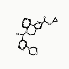 O=C(NC1CC1)c1cc2c(s1)-c1ccccc1N(C(O)c1ccnc(N3CCOCC3)c1)CC2